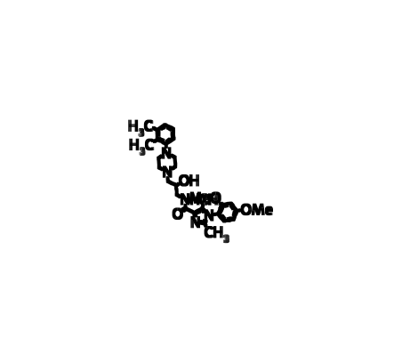 COc1ccc(-n2c(C)nc(C(=O)NCC(O)CN3CCN(c4cccc(C)c4C)CC3)c2C)c(OC)c1